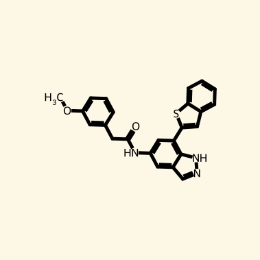 COc1cccc(CC(=O)Nc2cc(-c3cc4ccccc4s3)c3[nH]ncc3c2)c1